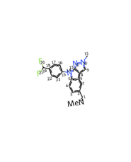 CNCc1ccc2c(c1)c1cn(C)nc1n2-c1ccc(C(F)F)cc1